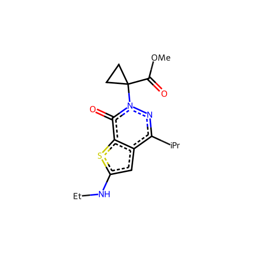 CCNc1cc2c(C(C)C)nn(C3(C(=O)OC)CC3)c(=O)c2s1